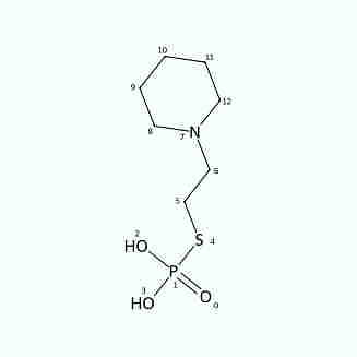 O=P(O)(O)SCCN1CCCCC1